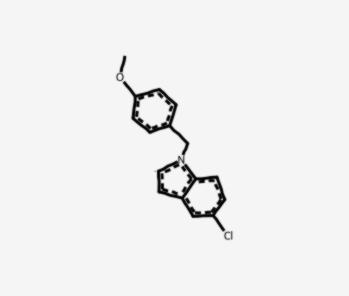 COc1ccc(Cn2[c]cc3cc(Cl)ccc32)cc1